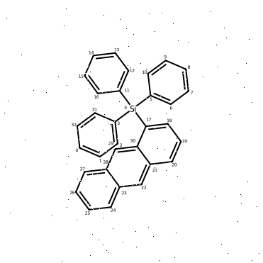 c1ccc([Si](c2ccccc2)(c2ccccc2)c2cccc3cc4ccccc4cc23)cc1